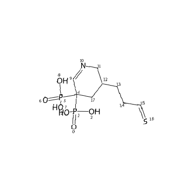 O=P(O)(O)C1(P(=O)(O)O)C=NCC(CCC=S)C1